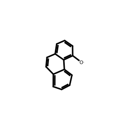 [O]c1cccc2ccc3ccccc3c12